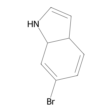 BrC1=CC2NC=CC2C=C1